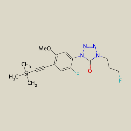 COc1cc(-n2nnn(CCCF)c2=O)c(F)cc1C#C[Si](C)(C)C